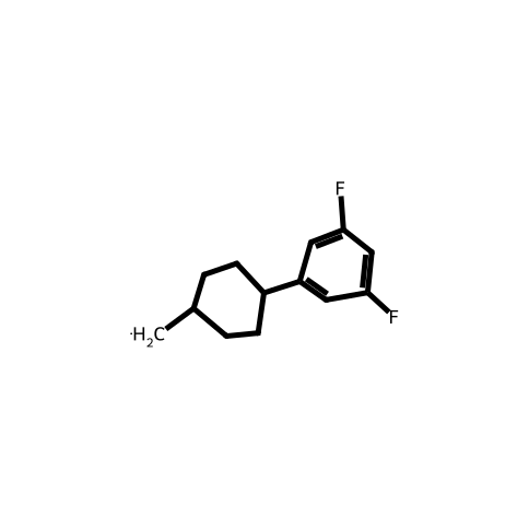 [CH2]C1CCC(c2cc(F)cc(F)c2)CC1